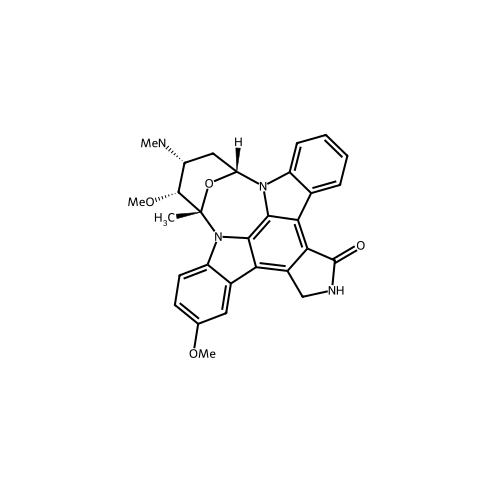 CN[C@@H]1C[C@H]2O[C@@](C)([C@@H]1OC)n1c3ccc(OC)cc3c3c4c(c5c6ccccc6n2c5c31)C(=O)NC4